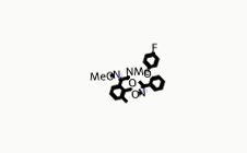 CNC(=O)/C(=N/OC)c1cccc(C)c1CO/N=C(\C)c1ccccc1Oc1ccc(F)cc1